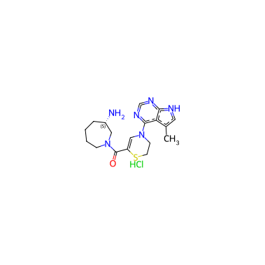 Cc1c[nH]c2ncnc(N3C=C(C(=O)N4CCCC[C@H](N)C4)SCC3)c12.Cl